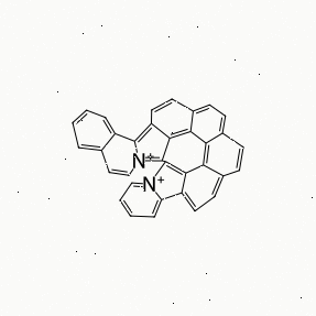 c1ccc2c(c1)cc[n+]1c2c2ccc3ccc4ccc5ccc6c7c5c4c3c2c1c7[n+]1ccccc61